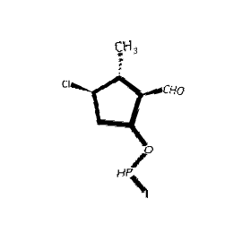 C[C@H]1[C@H](Cl)CC(OPI)[C@@H]1C=O